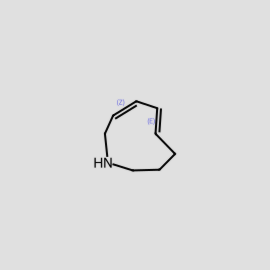 C1=C\CNCCC/C=C/1